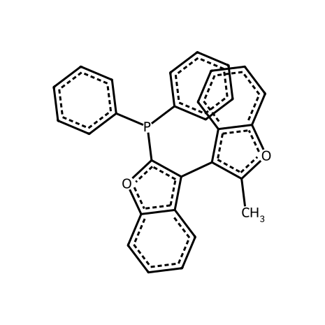 Cc1oc2ccccc2c1-c1c(P(c2ccccc2)c2ccccc2)oc2ccccc12